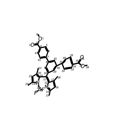 COC(=O)c1ccc(-c2cc(/C(=C3/N=C(C)C=C3C)c3c(C)cc(C)n3B(F)F)cc(-c3ccc(C(=O)OC)cc3)c2)cc1